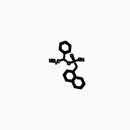 O=C(O)C(OP(=O)(O)Cc1cccc2ccccc12)c1ccccc1